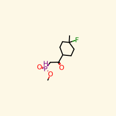 CO[PH](=O)CC(=O)C1CCC(C)(F)CC1